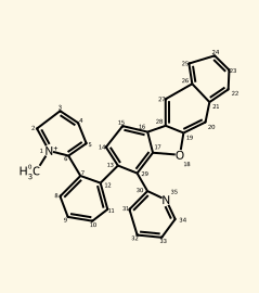 C[n+]1ccccc1-c1ccccc1-c1ccc2c(oc3cc4ccccc4cc32)c1-c1ccccn1